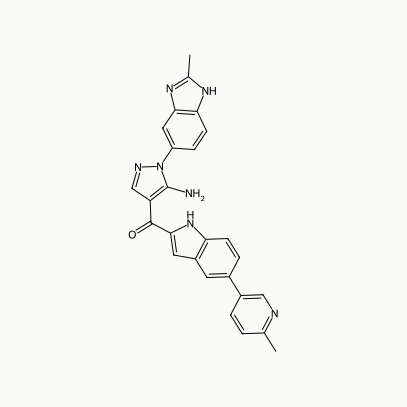 Cc1ccc(-c2ccc3[nH]c(C(=O)c4cnn(-c5ccc6[nH]c(C)nc6c5)c4N)cc3c2)cn1